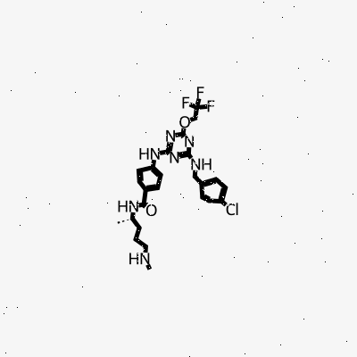 CNCCC[C@H](C)NC(=O)c1ccc(Nc2nc(NCc3ccc(Cl)cc3)nc(OCC(F)(F)F)n2)cc1